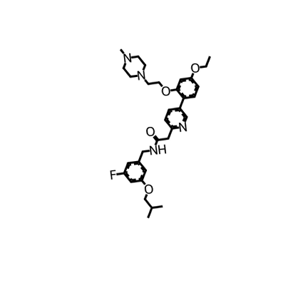 CCOc1ccc(-c2ccc(CC(=O)NCc3cc(F)cc(OCC(C)C)c3)nc2)c(OCCN2CCN(C)CC2)c1